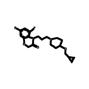 O=C1COc2cc(F)cc(F)c2N1CCCN1CCC(OCC2CC2)CC1